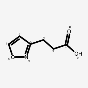 O=C(O)CCc1ccon1